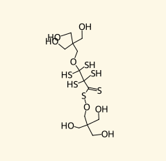 OCC(CO)(CO)COSC(=S)C(S)(S)C(S)(S)OCC(CO)(CO)CO